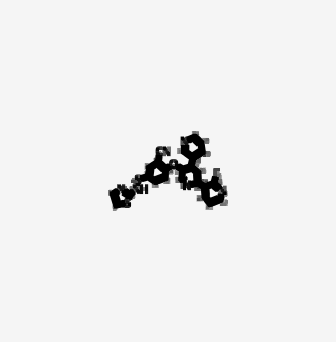 N#Cc1cc(SNc2nccs2)ccc1Oc1cnc(-c2cccnc2F)cc1-c1cccnc1